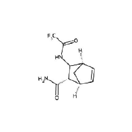 NC(=O)[C@@H]1C(NC(=O)C(F)(F)F)[C@H]2C=C[C@@H]1C2